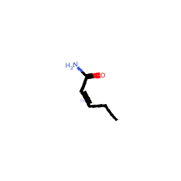 CC/C=C\C(N)=O